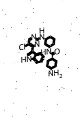 N[C@H]1CC[C@@H](C(=O)N[C@H]2CCC[C@@H](Nc3ncc(Cl)c(-c4c[nH]c5ccccc45)n3)C2)CC1